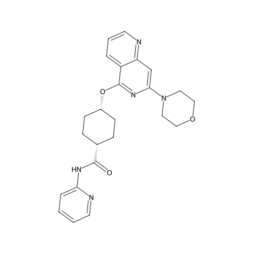 O=C(Nc1ccccn1)[C@H]1CC[C@@H](Oc2nc(N3CCOCC3)cc3ncccc23)CC1